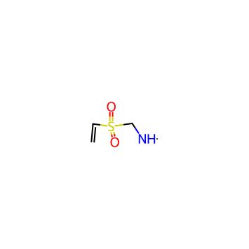 C=CS(=O)(=O)C[NH]